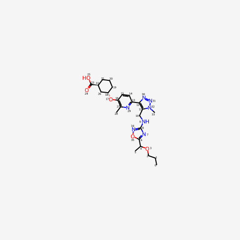 CCCOC(C)c1nc(NCc2c(-c3ccc(O[C@H]4CCC[C@H](C(=O)O)C4)c(C)n3)nnn2C)no1